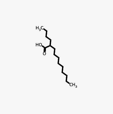 CCCCCCCCCC(CCCC)C(=O)O